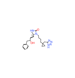 O=C1NC[C@H](C=CC(O)Cc2ccccc2)N1CCCCC1(Cc2nnn[nH]2)CC1